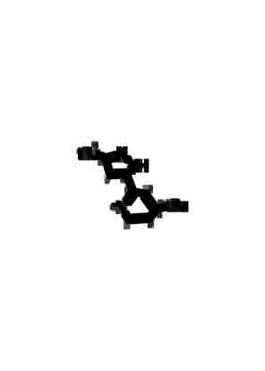 CC(C)(C)c1ccnc(-c2cc(C(C)(C)C)n[nH]2)c1